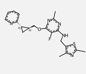 Cc1nc(NCc2sc(C)nc2C)c(F)c(OC[C@H]2C[C@@H]2c2ccccn2)n1